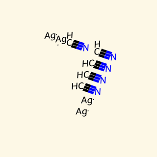 C#N.C#N.C#N.C#N.C#N.[Ag].[Ag].[Ag].[Ag]